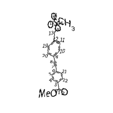 COC(=O)c1ccc(C#Cc2ccc(COS(C)(=O)=O)cc2)cc1